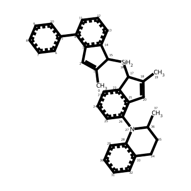 CC1=Cc2c(-c3ccccc3)cccc2C1[SiH2]C1C(C)=Cc2c1cccc2N1c2ccccc2CCC1C